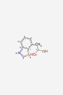 CC(O)S.c1ccc2scnc2c1